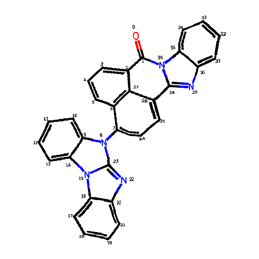 O=c1c2cccc3c(-n4c5ccccc5n5c6ccccc6nc45)ccc(c32)c2nc3ccccc3n12